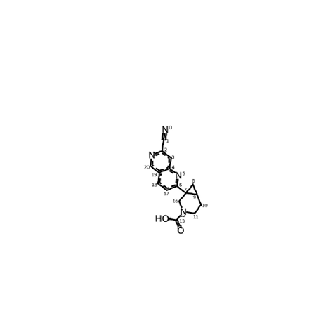 N#Cc1cc2nc(C34CC3CCN(C(=O)O)C4)ccc2cn1